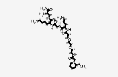 CC[C@H]1CCCCN1CC(=O)NCCOCCOCCC(=O)NC(CCCN)C(=O)NCC(=O)NC(CCCCN)C(=O)NC[C@H](N)C(N)=O